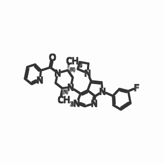 C[C@@H]1CN(c2ncnc3c2c(N2CCC2)cn3-c2cccc(F)c2)[C@@H](C)CN1C(=O)c1ccccn1